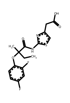 CCC(C)(Oc1ccc(F)cc1F)C(=O)Nc1nc(CC(=O)O)cs1